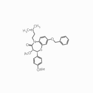 COc1ccc([C@@H]2Sc3cc(OCc4ccccc4)ccc3N(CCN(C)C)C(=O)[C@@H]2OC(C)=O)cc1